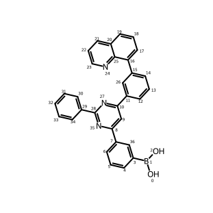 OB(O)c1cccc(-c2cc(-c3cccc(-c4cccc5cccnc45)c3)nc(-c3ccccc3)n2)c1